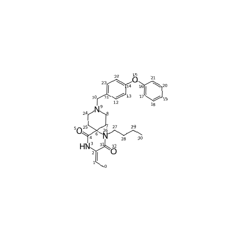 C/C=C1/NC(=O)C2(CCN(Cc3ccc(Oc4ccccc4)cc3)CC2)N(CCCC)C1=O